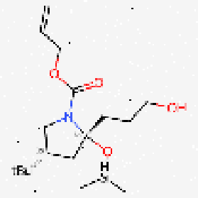 C=CCOC(=O)N1C[C@@H](C(C)(C)C)C[C@@]1(CCCO)O[SiH](C)C